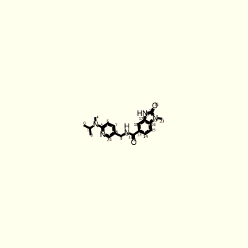 CC(C)N(C)c1ccc(CNC(=O)c2ccc3c(c2)[nH]c(=O)n3C)cn1